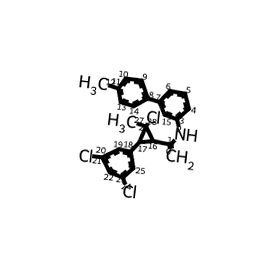 C=C(Nc1cccc(-c2ccc(C)cc2)c1)C1C(c2cc(Cl)cc(Cl)c2)C1(C)Cl